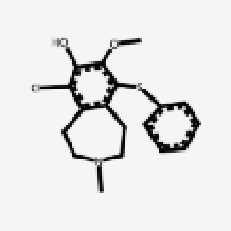 COc1c(O)c(Cl)c2c(c1Sc1ccccc1)CCN(C)CC2